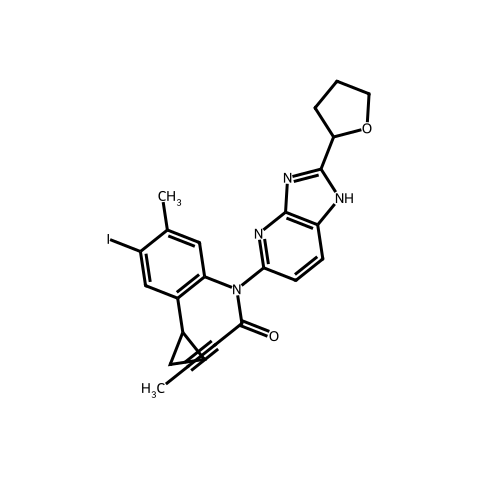 CC#CC(=O)N(c1ccc2[nH]c(C3CCCO3)nc2n1)c1cc(C)c(I)cc1C1CC1